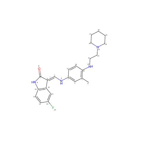 Cc1cc(N/C=C2/C(=O)Nc3ccc(F)cc32)ccc1NCCN1CCCCC1